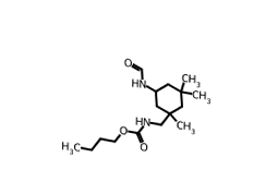 CCCCOC(=O)NCC1(C)CC(NC=O)CC(C)(C)C1